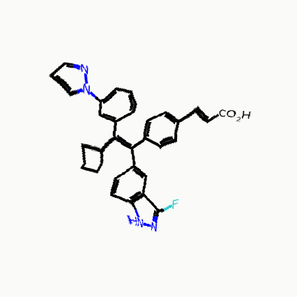 O=C(O)C=Cc1ccc(C(=C(c2cccc(-n3cccn3)c2)C2CCC2)c2ccc3[nH]nc(F)c3c2)cc1